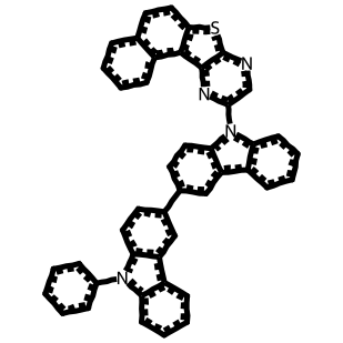 c1ccc(-n2c3ccccc3c3cc(-c4ccc5c(c4)c4ccccc4n5-c4cnc5sc6ccc7ccccc7c6c5n4)ccc32)cc1